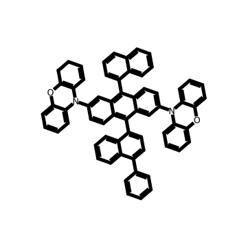 C1=CC2=C(CC1)Oc1ccccc1N2c1ccc2c(-c3ccc(-c4ccccc4)c4ccccc34)c3cc(N4c5ccccc5Oc5ccccc54)ccc3c(-c3cccc4ccccc34)c2c1